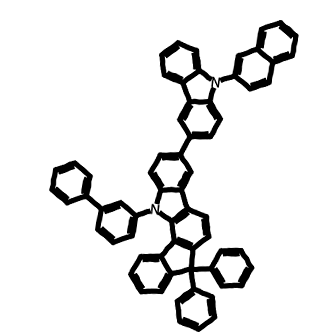 c1ccc(-c2cccc(-n3c4ccc(-c5ccc6c(c5)c5ccccc5n6-c5ccc6ccccc6c5)cc4c4ccc5c(c43)-c3ccccc3C5(c3ccccc3)c3ccccc3)c2)cc1